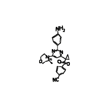 C[C@H]1COCCN1c1cc(C2(S(=O)(=O)c3ccc(C#N)cc3)CC2)nc(-c2ccc(N)cc2)n1